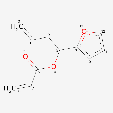 C=CCC(OC(=O)C=C)c1ccco1